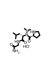 CC(C)C[C@@H](C(=O)NCC(N)=O)N(C(=O)[C@@H]1CCCN1)N(C)C.Cl